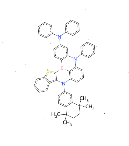 CC1(C)CCC(C)(C)c2cc(N3c4cccc5c4B(c4ccc(N(c6ccccc6)c6ccccc6)cc4N5c4ccccc4)c4sc5ccccc5c43)ccc21